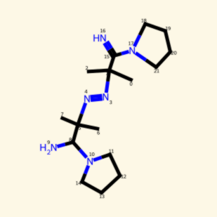 CC(C)(N=NC(C)(C)C(N)N1CCCC1)C(=N)N1CCCC1